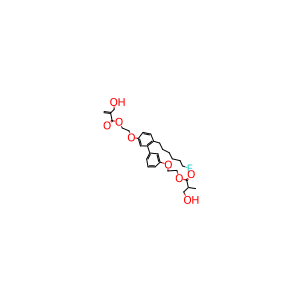 C=C(CO)C(=O)OCCOc1ccc(CCCCCCF)c(-c2cccc(OCCOC(=O)C(C)CO)c2)c1